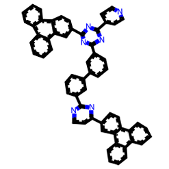 c1cc(-c2cccc(-c3nc(-c4ccncc4)nc(-c4ccc5c6ccccc6c6ccccc6c5c4)n3)c2)cc(-c2nccc(-c3ccc4c5ccccc5c5ccccc5c4c3)n2)c1